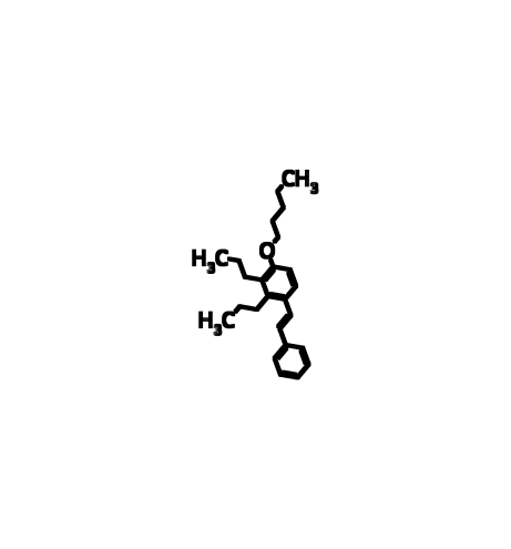 CCCCCOc1ccc(C=Cc2ccccc2)c(CCC)c1CCC